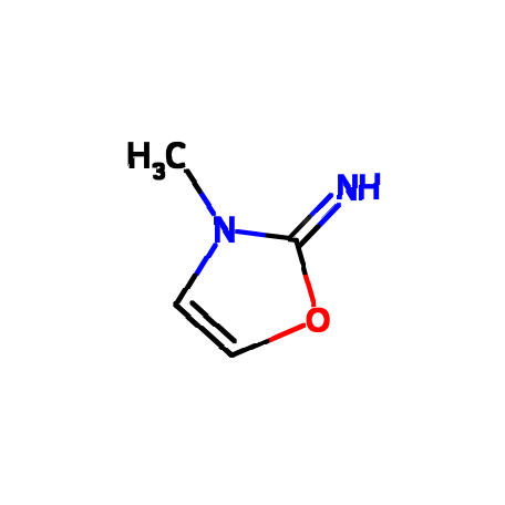 Cn1ccoc1=N